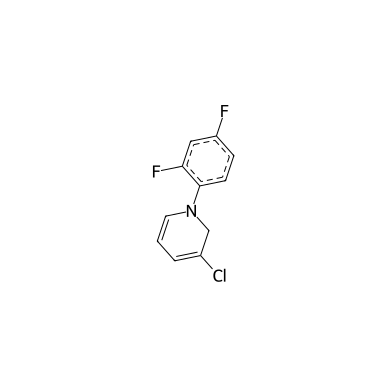 Fc1ccc(N2C=CC=C(Cl)C2)c(F)c1